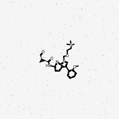 COc1ccccc1-c1cn(COCC[Si](C)(C)C)c2nc(NC(=O)[C@H]3C[C@H]3C=O)ccc12